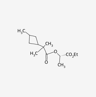 CCOC(=O)[C@H](C)OC(=O)C(C)(C)C1CC(C)C1